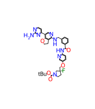 CC(C)(C)OC(=O)N1CC[C@@](F)(COc2ccc(NC(=O)c3cccc(CNc4ncc(-c5ccnc(N)n5)c5c4CCO5)c3)nc2)C1